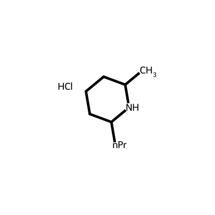 CCCC1CCCC(C)N1.Cl